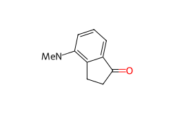 CNc1cccc2c1CCC2=O